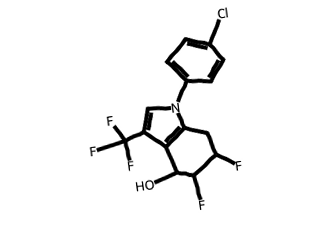 OC1c2c(C(F)(F)F)cn(-c3ccc(Cl)cc3)c2CC(F)C1F